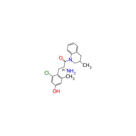 Cc1cc(O)cc(Cl)c1C[C@@H](N)C(=O)N1CC(C)Cc2ccccc21